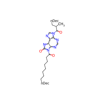 CCCCCCCCCCCCCCCCCC(=O)n1c2ncnc3c(ncn3C(=O)C(C)CCCCCCCCCCC)c-2nc1=O